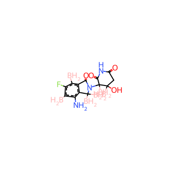 Bc1c(N)c2c(c(B)c1F)C(=O)N(C1(B)C(=O)NC(=O)CC1(B)O)C2(B)B